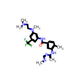 C=N/C=N\C(=C)Nc1cc(C(=O)Nc2cc(N(C)CCN(C)C)cc(C(F)(F)F)c2)ccc1C